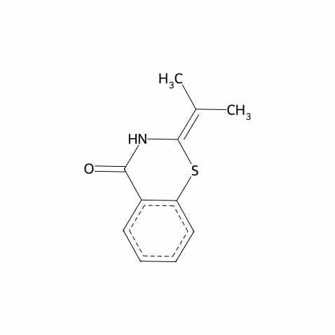 CC(C)=C1NC(=O)c2ccccc2S1